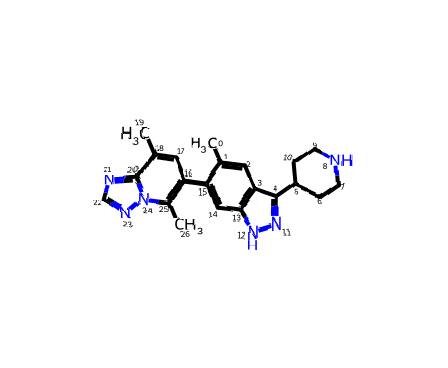 Cc1cc2c(C3CCNCC3)n[nH]c2cc1-c1cc(C)c2ncnn2c1C